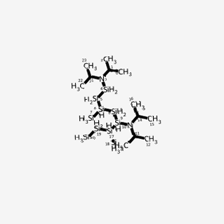 CC(C)N([SiH2][SiH2][SiH]([SiH3])[SiH2][SiH](N(C(C)C)C(C)C)[SiH]([SiH3])[SiH2][SiH3])C(C)C